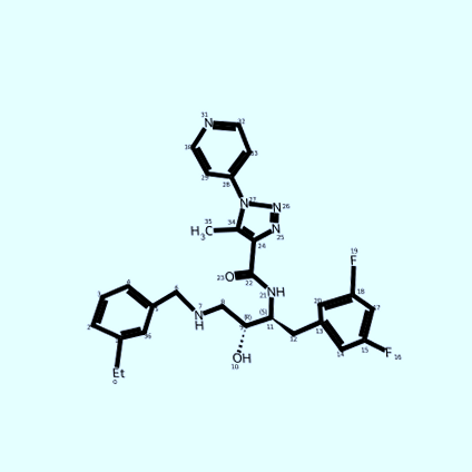 CCc1cccc(CNC[C@@H](O)[C@H](Cc2cc(F)cc(F)c2)NC(=O)c2nnn(-c3ccncc3)c2C)c1